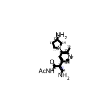 CC(=O)NC(=O)/C(=C\N)c1cc(N2CCC(N)C2)c(C)nn1